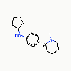 CN1CCCC[C@@H]1c1ccc(NC2CCCC2)cc1